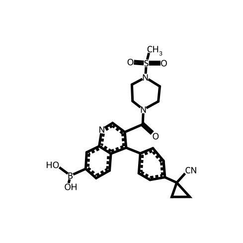 CS(=O)(=O)N1CCN(C(=O)c2cnc3cc(B(O)O)ccc3c2-c2ccc(C3(C#N)CC3)cc2)CC1